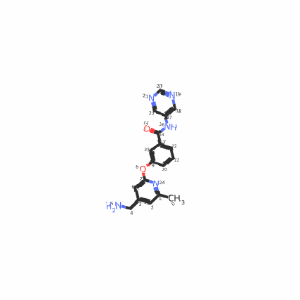 Cc1cc(CN)cc(Oc2cccc(C(=O)Nc3cncnc3)c2)n1